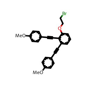 COc1ccc(C#Cc2cccc(OCCBr)c2C#Cc2ccc(OC)cc2)cc1